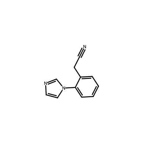 N#CCc1ccccc1-n1ccnc1